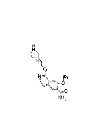 CC(C)Oc1cc2c(OCC[C@H]3CCNC3)nccc2cc1C(N)=O